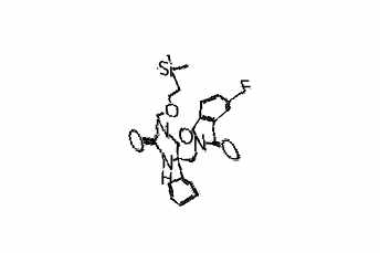 C[Si](C)(C)CCOCN1C(=O)N[C@@](CN2Cc3ccc(F)cc3C2=O)(c2ccccc2)C1=O